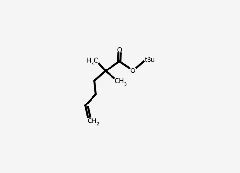 C=CCCC(C)(C)C(=O)OC(C)(C)C